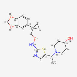 CCC(c1cnc(NOCC2(c3ccc4c(c3)OCO4)CC2)s1)N1CCC(O)CC1